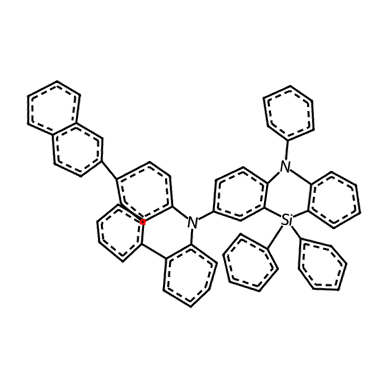 c1ccc(-c2ccccc2N(c2ccc(-c3ccc4ccccc4c3)cc2)c2ccc3c(c2)[Si](c2ccccc2)(c2ccccc2)c2ccccc2N3c2ccccc2)cc1